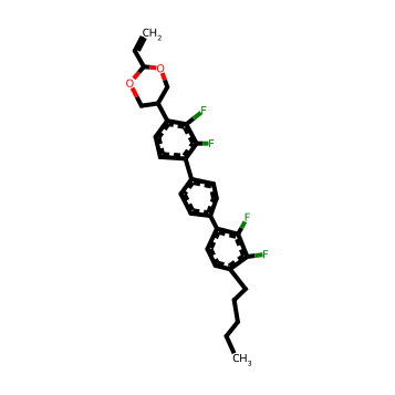 C=CC1OCC(c2ccc(-c3ccc(-c4ccc(CCCCC)c(F)c4F)cc3)c(F)c2F)CO1